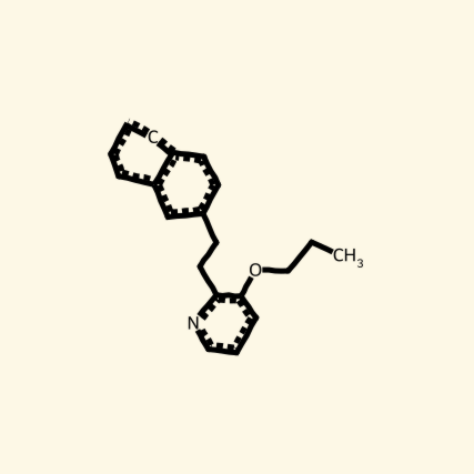 CCCOc1cccnc1CCc1ccc2ccccc2c1